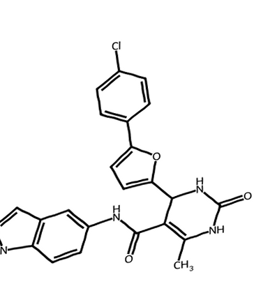 CC1=C(C(=O)Nc2ccc3[nH]ncc3c2)C(c2ccc(-c3ccc(Cl)cc3)o2)NC(=O)N1